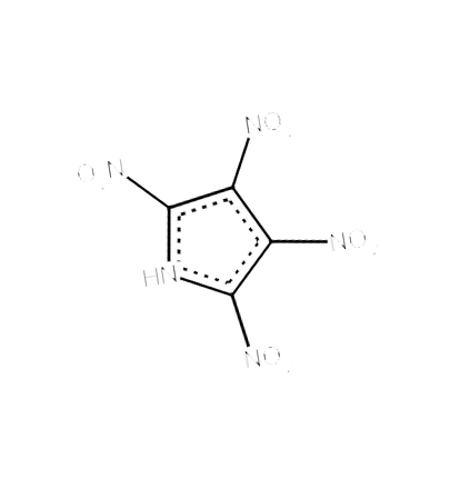 O=[N+]([O-])c1[nH]c([N+](=O)[O-])c([N+](=O)[O-])c1[N+](=O)[O-]